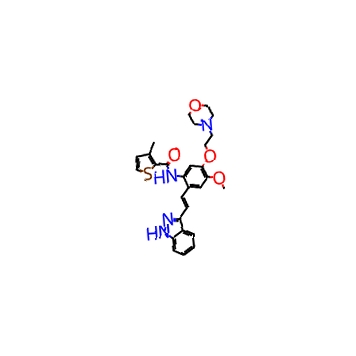 COc1cc(/C=C/c2n[nH]c3ccccc23)c(NC(=O)c2sccc2C)cc1OCCN1CCOCC1